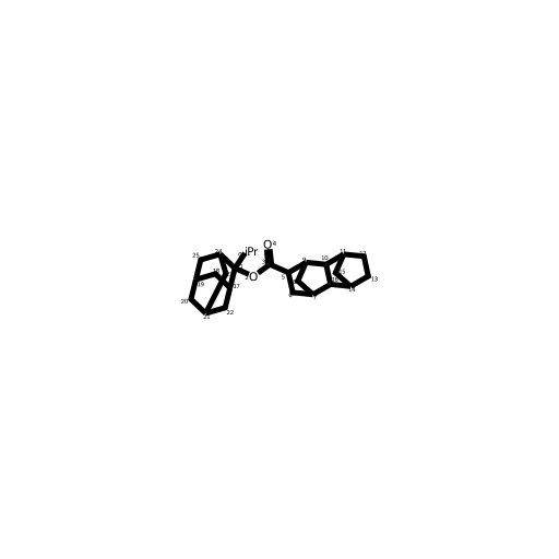 CC(C)C1(OC(=O)C2CC3CC2C2C4CCC(C4)C32)C2CC3CC(C2)CC1C3